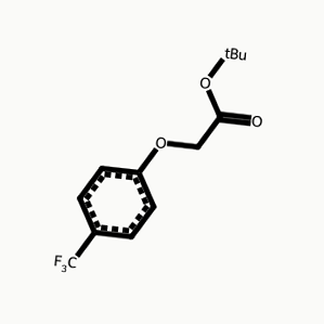 CC(C)(C)OC(=O)COc1ccc(C(F)(F)F)cc1